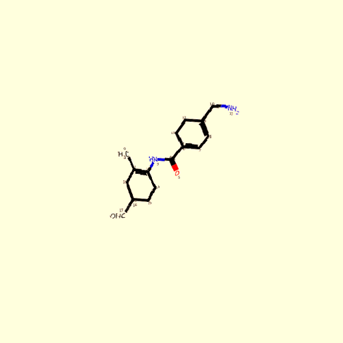 CC1=C(NC(=O)C2=CC=C(CN)CC2)CCC(C=O)C1